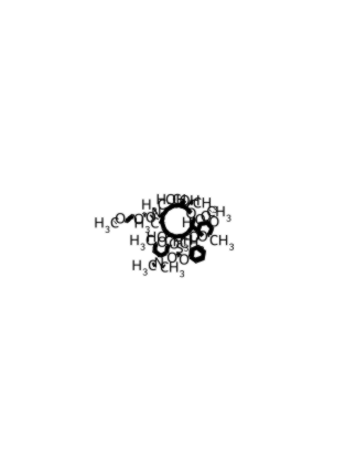 CC[C@H]1OC(=O)[C@H]2[C@@H](OC23CC2(OC)OC2C(C)O3)[C@H](C)[C@@H](OC2OC(C)CC(N(C)C)C2OC(=S)Oc2ccccc2)[C@@](C)(O)C[C@@H](C)/C(=N\OCOCCOC)[C@H](C)[C@@H](O)[C@]1(C)O